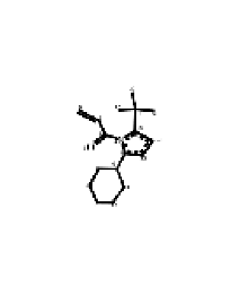 C=CC(=O)n1c(C2CCCCC2)ccc1C(C)(C)C